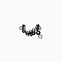 CC(C)(C)OC(=O)Nc1ccc(Cl)cc1-c1cnc2c(c1)CCC2(O)c1ncc(-c2ccc(C(=O)OC(C)(C)C)s2)[nH]1